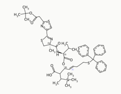 CC(C)[C@H](NC(=O)[C@@]1(C)CSC(c2csc(CC(=O)OC(C)(C)C)n2)=N1)C(=O)O[C@H](/C=C/CCSC(c1ccccc1)(c1ccccc1)c1ccccc1)C(C(=O)O)C(C)[Si](C)(C)C